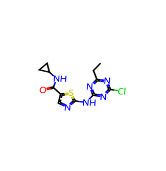 CCc1nc(Cl)nc(Nc2ncc(C(=O)NC3CC3)s2)n1